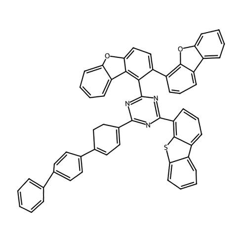 C1=C(c2ccc(-c3ccccc3)cc2)CCC(c2nc(-c3cccc4c3sc3ccccc34)nc(-c3c(-c4cccc5c4oc4ccccc45)ccc4oc5ccccc5c34)n2)=C1